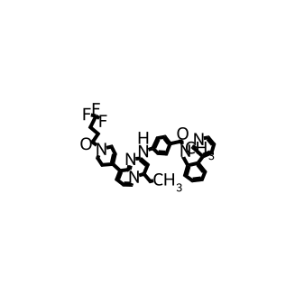 CCC1C=C(Nc2ccc(C(=O)N(C)Cc3ccccc3-c3cccnc3)cc2)N=C2C(C3=CCN(C(=O)CCC(F)(F)F)CC3)=CC=CN21